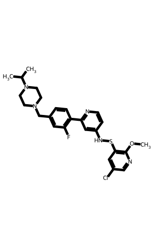 COc1ncc(Cl)cc1SNc1ccnc(-c2ccc(CN3CCN(C(C)C)CC3)cc2F)c1